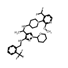 COc1nccc(C(F)F)c1N1CCC(NC(C)c2cn(C3CCCCO3)nc2NCc2ccccc2C(F)(F)F)CC1